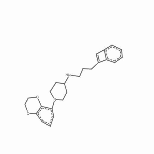 C1=C(CCCNC2CCN(c3cccc4c3OCCO4)CC2)c2ccccc21